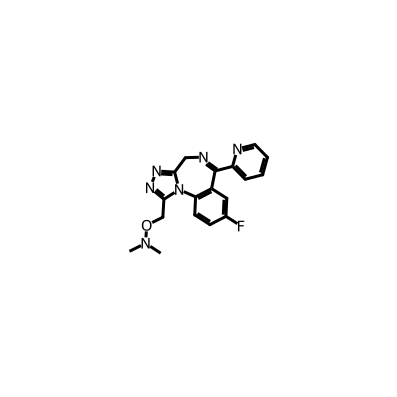 CN(C)OCc1nnc2n1-c1ccc(F)cc1C(c1ccccn1)=NC2